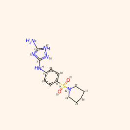 Nc1nc(Nc2ccc(S(=O)(=O)N3CCCCC3)cc2)n[nH]1